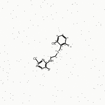 Fc1cnc(Cl)nc1NCCSCc1c(F)cccc1Cl